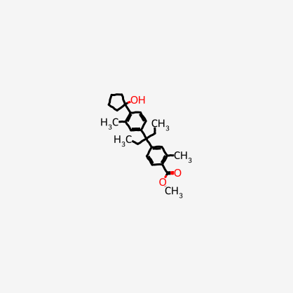 CCC(CC)(c1ccc(C(=O)OC)c(C)c1)c1ccc(C2(O)CCCC2)c(C)c1